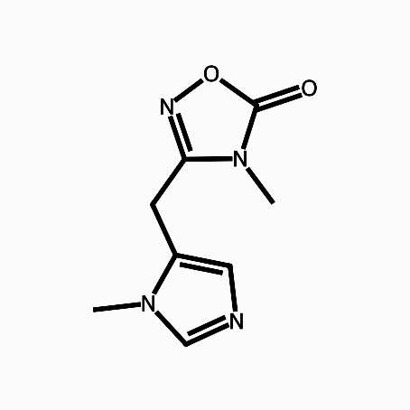 Cn1cncc1Cc1noc(=O)n1C